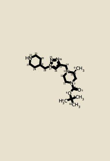 C[C@H]1CN(C(=O)OC(C)(C)C)CCN1Cc1cn(CC2CCNCC2)nn1